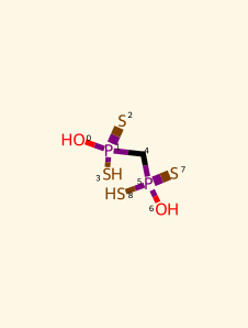 OP(=S)(S)CP(O)(=S)S